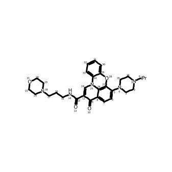 CC(C)N1CCN(c2ccc3c(=O)c(C(=O)NCCCN4CCOCC4)cn4c3c2Oc2ccccc2-4)CC1